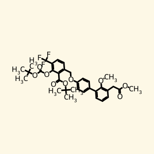 COC(=O)Cc1cccc(-c2ccc(OCc3ccc(C(F)(F)F)c(OC(=O)OC(C)(C)C)c3C(=O)OC(C)(C)C)cc2)c1OC